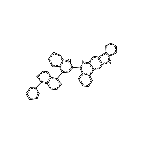 c1ccc(-c2cccc3c(-c4cc(-c5nc6cc7c(cc6c6ccccc56)sc5ccccc57)nc5ccccc45)cccc23)cc1